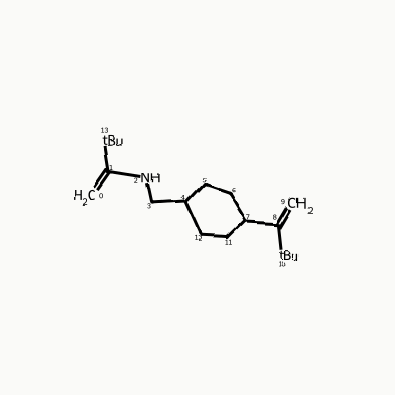 C=C(NCC1CCC(C(=C)C(C)(C)C)CC1)C(C)(C)C